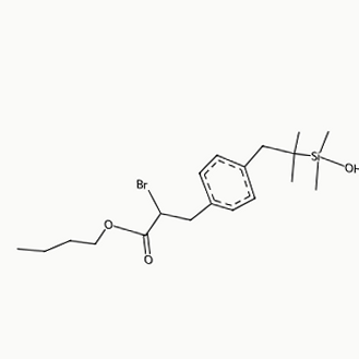 CCCCOC(=O)C(Br)Cc1ccc(CC(C)(C)[Si](C)(C)O)cc1